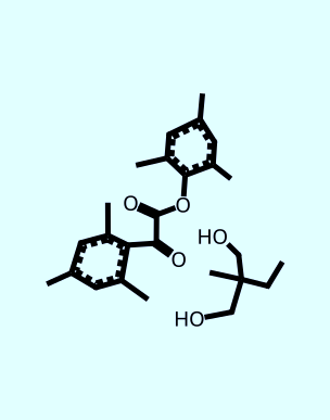 CCC(C)(CO)CO.Cc1cc(C)c(OC(=O)C(=O)c2c(C)cc(C)cc2C)c(C)c1